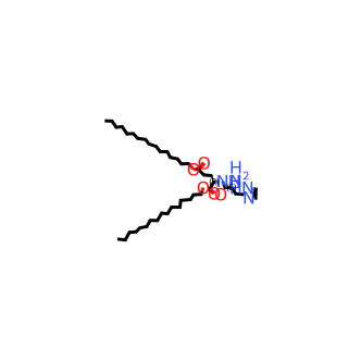 CCCCCCCCCCCCCCCCOC(=O)CC[C@@H](NC(=O)[C@@H](N)Cc1ncc[nH]1)C(=O)OCCCCCCCCCCCCCCCC